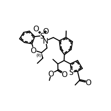 CC[C@@H]1CN(Cc2cc(C(c3ccc(C(C)=O)s3)C(C)C(=O)OC)ccc2C)S(=O)(=O)c2ccccc2O1